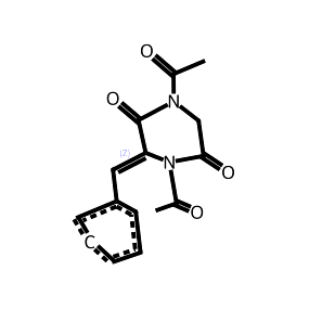 CC(=O)N1CC(=O)N(C(C)=O)/C(=C\c2ccccc2)C1=O